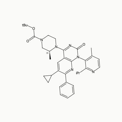 Cc1ccnc(C(C)C)c1-n1c(=O)nc(N2CCN(C(=O)OC(C)(C)C)C[C@@H]2C)c2cc(C3CC3)c(-c3ccccc3)nc21